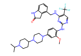 COc1cc(N2CCN(C3CCN(C(C)C)CC3)CC2)ccc1Nc1ncc(C(F)(F)F)c(NCc2cccc3c2CC(=O)N3)n1